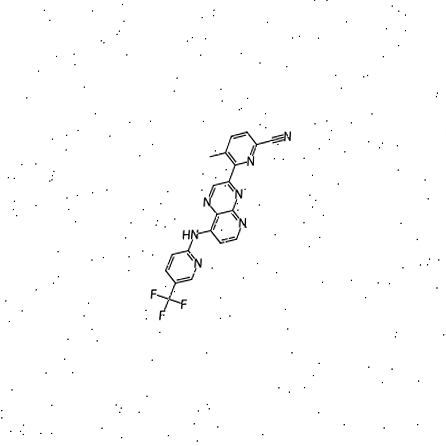 Cc1ccc(C#N)nc1-c1cnc2c(Nc3ccc(C(F)(F)F)cn3)ccnc2n1